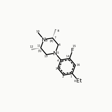 CCc1ccc(N2C[C@@H](C)N(C)[C@@H](C)C2)c(F)c1